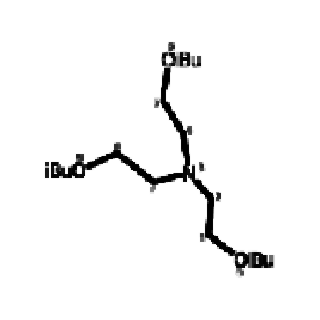 CC(C)COCCN(CCOCC(C)C)CCOCC(C)C